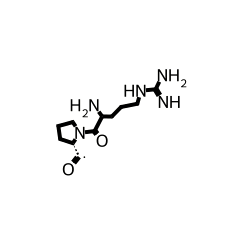 N=C(N)NCCCC(N)C(=O)N1CCC[C@H]1[C]=O